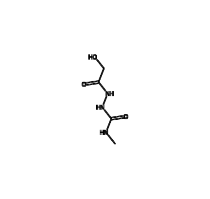 CNC(=O)NNC(=O)CO